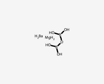 OB(O)OB(O)O.[BaH2].[MgH2]